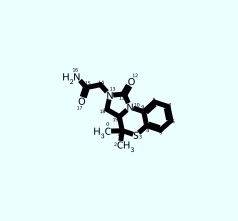 CC1(C)Sc2ccccc2N2C(=O)N(CC(N)=O)CC21